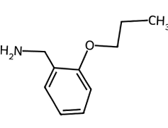 CCCOc1ccccc1CN